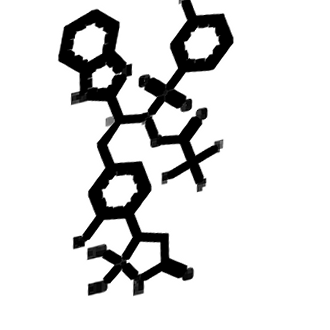 O=C1CC(c2ccc(C[C@@H](c3nc4ccccc4[nH]3)N(OC(=O)C(F)(F)F)S(=O)(=O)c3cccc(F)c3)cc2Br)S(O)(O)N1